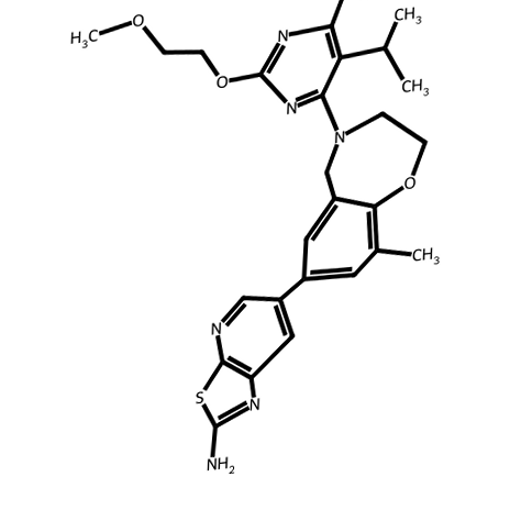 COCCOc1nc(C)c(C(C)C)c(N2CCOc3c(C)cc(-c4cnc5sc(N)nc5c4)cc3C2)n1